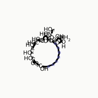 C[C@H](O)CNC(=O)[C@H]1[C@@H]2C[C@@H](O[C@@H]3OC[C@@H](O)[C@H](N)[C@@H]3O)/C=C/C=C/C=C/C=C/C=C/C=C/C=C/[C@H](C)[C@@H](O)C[C@H](C)OC(=O)CC(O)CC(O)CCC(O)C(O)CC(O)C[C@](O)(C[C@@H]1O)O2